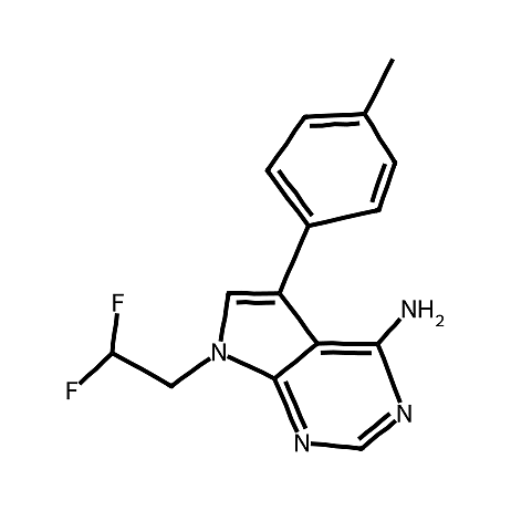 Cc1ccc(-c2cn(CC(F)F)c3ncnc(N)c23)cc1